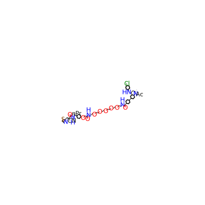 CCCC(NC(=O)/C(C#N)=C/c1nccs1)c1ccc(OCC(=O)NCCOCCOCCOCCOCCOCCNC(=O)c2ccc(-c3ccc4c(c3)[C@H](Nc3ccc(Cl)cc3)C[C@H](C)N4C(C)=O)cc2)cc1